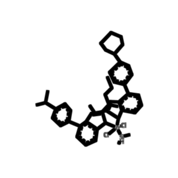 CCCC(C)C1=Cc2c(-c3ccc(C(C)C)cc3)cccc2[CH]1[Zr]([Cl])([Cl])([CH]1C(CC)=Cc2c(-c3ccc(C4CCCCC4)cc3)cccc21)[SiH](C)C